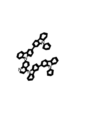 c1ccc(-n2c3ccccc3c3ccc(-c4ccc5c(c4)c4ccccc4n5-c4ccc5c(-n6c7ccccc7c7cc(-c8ccc9c%10ccccc%10n(-c%10ccccc%10)c9c8)ccc76)ccnc5c4)cc32)cc1